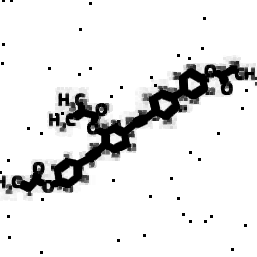 C=CC(=O)Oc1ccc(C#Cc2ccc(C#Cc3ccc(-c4ccc(OC(=O)C=C)cc4)cc3)cc2OC(=O)C(=C)C)cc1